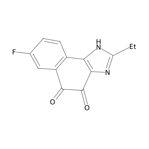 CCc1nc2c([nH]1)-c1ccc(F)cc1C(=O)C2=O